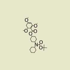 COC1=CC(OC)=C(C(=O)OC2CCC(N(C(=O)OC(C)(C)C)C3CCCCC3)CC2)C(OC)C1